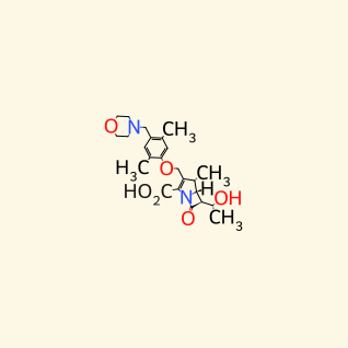 Cc1cc(OCC2=C(C(=O)O)N3C(=O)[C@H]([C@@H](C)O)[C@H]3[C@H]2C)c(C)cc1CN1CCOCC1